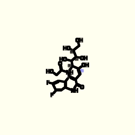 O=C(CO)N[C@H](/C(O)=C\c1nc2cc(F)c(F)cc2[nH]c1=O)C(O)[C@H](O)[C@H](O)CO